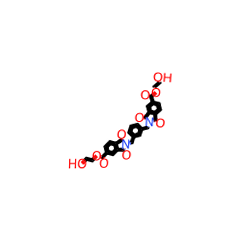 O=C(OCCO)c1ccc2c(c1)C(=O)N(Cc1cccc(CN3C(=O)c4ccc(C(=O)OCCO)cc4C3=O)c1)C2=O